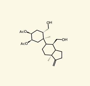 C=C1CCC2[C@H](CO)C([C@@]3(C)C[C@@H](OC(C)=O)[C@@H](OC(C)=O)C[C@@H]3CO)CC[C@]12C